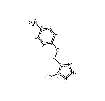 Cn1nnnc1COc1ccc([N+](=O)[O-])cc1